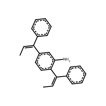 C/C=C(/c1ccccc1)c1ccc(/C(=C\C)c2ccccc2)c(N)c1